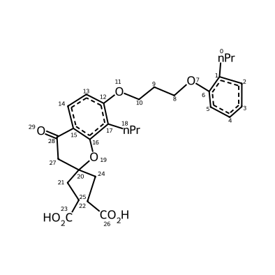 CCCc1ccccc1OCCCOc1ccc2c(c1CCC)OC(CCC(=O)O)(CCC(=O)O)CC2=O